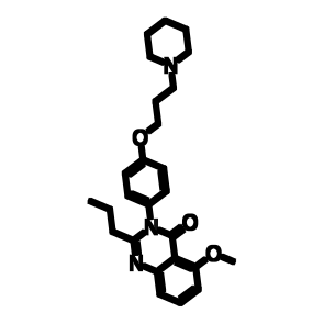 CCCc1nc2cccc(OC)c2c(=O)n1-c1ccc(OCCCN2CCCCC2)cc1